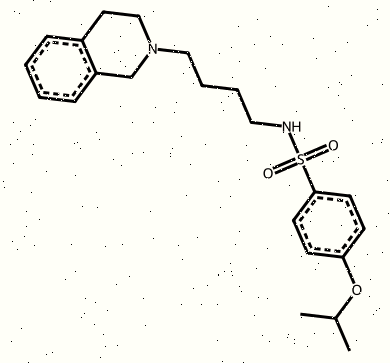 CC(C)Oc1ccc(S(=O)(=O)NCCCCN2CCc3ccccc3C2)cc1